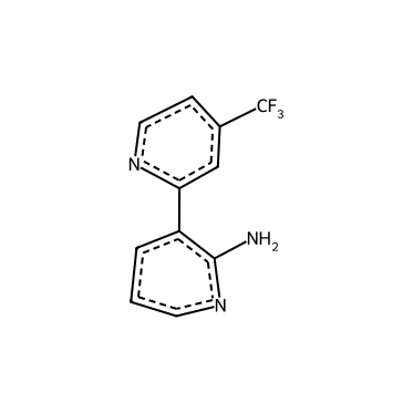 Nc1ncccc1-c1cc(C(F)(F)F)ccn1